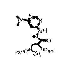 CCCCCC(CN(O)C=O)C(=O)NNc1cc(N(C)C)ncn1